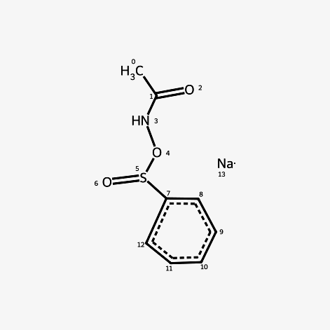 CC(=O)NOS(=O)c1ccccc1.[Na]